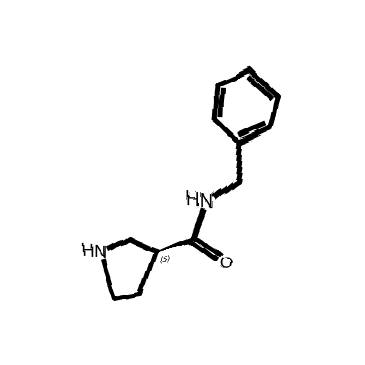 O=C(NCc1ccccc1)[C@H]1CCNC1